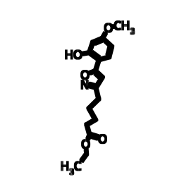 CCOC(=O)CCCCc1cc(-c2ccc(OC)cc2O)on1